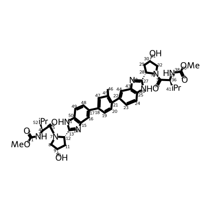 COC(=O)N[C@H](C(=O)N1C[C@@H](O)C[C@H]1c1nc2cc(-c3ccc(-c4ccc5[nH]c([C@@H]6C[C@H](O)CN6C(=O)[C@@H](NC(=O)OC)C(C)C)nc5c4)c(C)c3)ccc2[nH]1)C(C)C